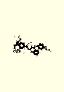 CCn1cc2c3c(cc(C(=O)N[C@@H](Cc4ccccc4)[C@H](O)CNc4ccc(OC)cc4)cc31)N(C)S(=O)(=O)CC2